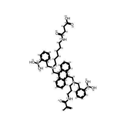 C=C(C)C(=O)NCCCN(Cc1ccccc1B(O)O)Cc1c2ccccc2c(CN(CCCCCCNC(=O)CCC(=O)O)Cc2ccccc2B(O)O)c2ccccc12